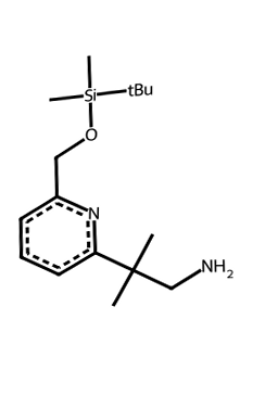 CC(C)(CN)c1cccc(CO[Si](C)(C)C(C)(C)C)n1